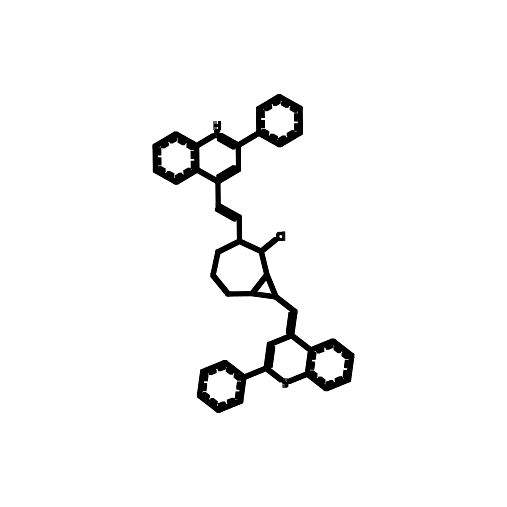 ClC1C(C=CC2=CC(c3ccccc3)=[SH]c3ccccc32)CCCC2C(/C=C3\C=C(c4ccccc4)Sc4ccccc43)C12